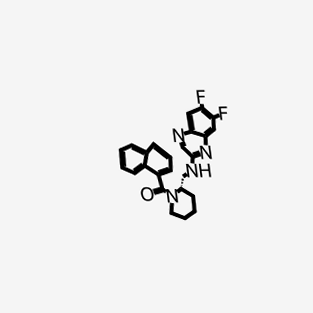 O=C(c1cccc2ccccc12)N1CCCC[C@H]1CNc1cnc2cc(F)c(F)cc2n1